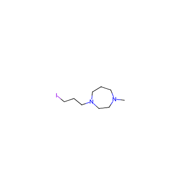 CN1CCCN(CCCI)CC1